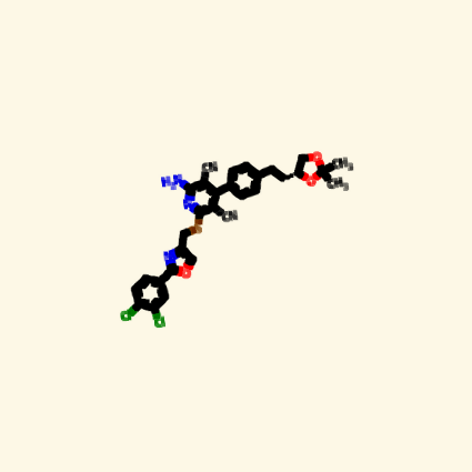 CC1(C)OC[C@@H](CCc2ccc(-c3c(C#N)c(N)nc(SCc4coc(-c5ccc(Cl)c(Cl)c5)n4)c3C#N)cc2)O1